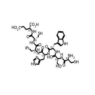 CC(C)C[C@H](NC(=O)[C@H](Cc1c[nH]cn1)NC(=O)[C@H](Cc1c[nH]c2ccccc12)NC(=O)[C@H](CO)NC(=O)[C@@H](N)CS)C(=O)N[C@@H](CS)C(=O)N[C@@H](CCC(=O)O)C(=O)O